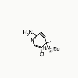 CC[C@@H](C)NC1(C)C#CC(N)=NC=C1Cl